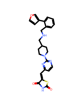 O=C1NC(=O)/C(=C/c2ccnc(N3CCC(CNCc4ccccc4-c4ccoc4)CC3)n2)S1